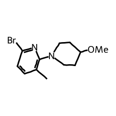 COC1CCN(c2nc(Br)ccc2C)CC1